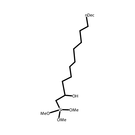 CCCCCCCCCCCCCCCCCCC(O)C[Si](OC)(OC)OC